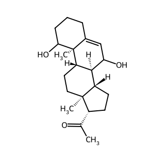 CC(=O)[C@H]1CC[C@H]2[C@@H]3C(O)C=C4CCCC(O)[C@]4(C)[C@H]3CC[C@]12C